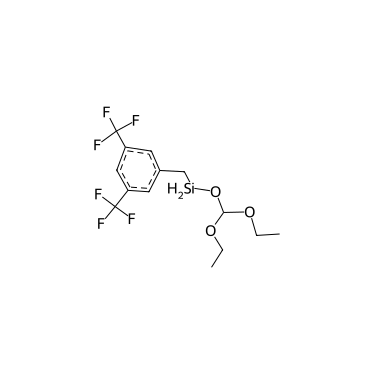 CCOC(OCC)O[SiH2]Cc1cc(C(F)(F)F)cc(C(F)(F)F)c1